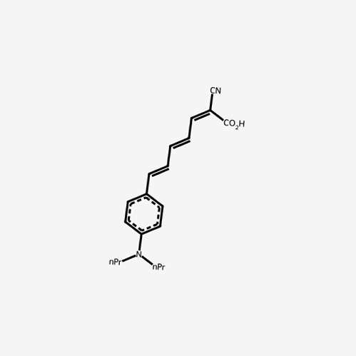 CCCN(CCC)c1ccc(C=CC=CC=C(C#N)C(=O)O)cc1